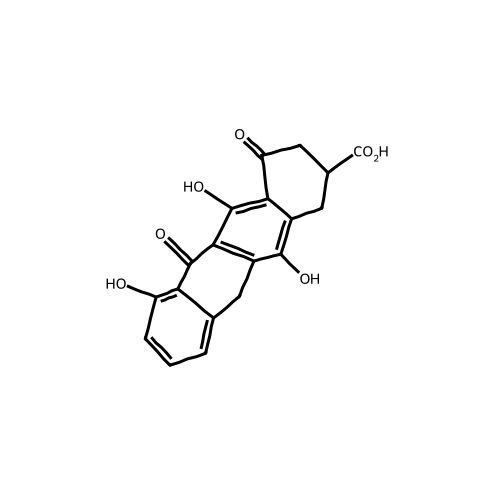 O=C1CC(C(=O)O)Cc2c(O)c3c(c(O)c21)C(=O)c1c(O)cccc1C3